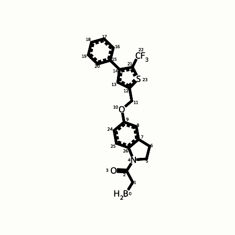 BCC(=O)N1CCc2cc(OCc3cc(-c4ccccc4)c(C(F)(F)F)s3)ccc21